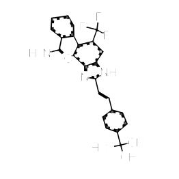 CC(C)(C)c1ccc(/C=C/c2nc3cc(-c4ccccc4C(N)=O)c(C(F)(F)F)cc3[nH]2)cc1